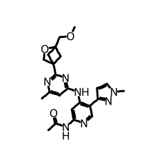 COCC12CC(c3nc(C)cc(Nc4cc(NC(C)=O)ncc4-c4ccn(C)n4)n3)(CO1)C2